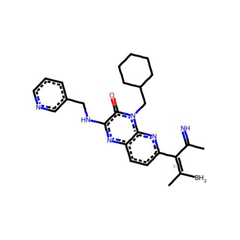 B/C(C)=C(\C(C)=N)c1ccc2nc(NCc3cccnc3)c(=O)n(CC3CCCCC3)c2n1